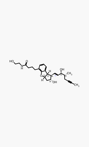 CC#CC[C@@H](C)[C@H](O)/C=C/[C@@H]1[C@H]2c3cccc(CCCC(=O)NCCO)c3O[C@H]2C[C@H]1O